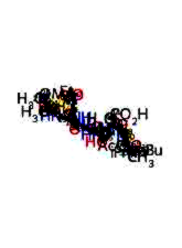 CCC(=O)N(CCCC(=O)N[C@@H](CCCCNC(=O)CC(C)(C)OCN(C)OC)C(=O)NCCCC(=O)Nc1cc(C[C@@H](CC(C)C(=O)O)NC(=O)c2csc([C@@H](CC(C(C)C)N(C)C(=O)C[C@@H](C)CC)OC(C)=O)n2)ccc1O)C(=O)S